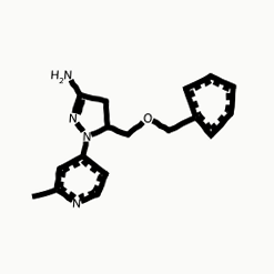 Cc1cc(N2N=C(N)CC2COCc2ccccc2)ccn1